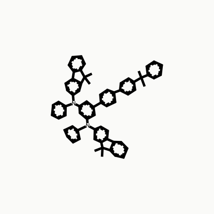 CC(C)(c1ccccc1)c1ccc(-c2ccc(-c3cc(N(c4ccccc4)c4ccc5c(c4)C(C)(C)c4ccccc4-5)cc(N(c4ccccc4)c4ccc5c(c4)C(C)(C)c4ccccc4-5)c3)cc2)cc1